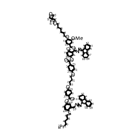 CCC1(COCCCCCCOc2ccc(C(=O)Oc3ccc(OC(=O)c4ccc(OCCCCOc5ccc(C(=O)Oc6ccc(SCCCCC(C)C)c(/C=N/N=C7c8ccccc8-c8ccccc87)c6)cc5)cc4)cc3/C=N/N=C3c4ccccc4-c4ccccc43)cc2OC)COC1